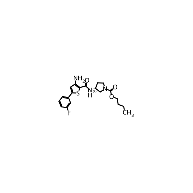 CCCCOC(=O)N1CC[C@@H](NC(=O)c2sc(-c3cccc(F)c3)cc2N)C1